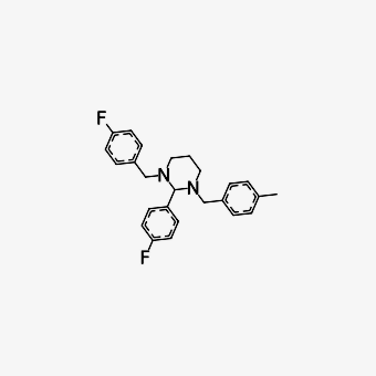 Cc1ccc(CN2CCCN(Cc3ccc(F)cc3)C2c2ccc(F)cc2)cc1